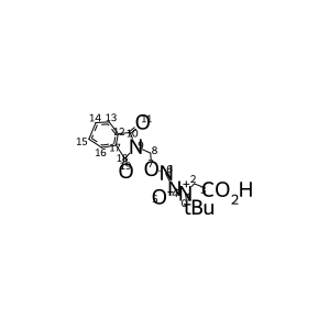 CC(C)(C)N(CC(=O)O)[N+]([O-])=NOCN1C(=O)c2ccccc2C1=O